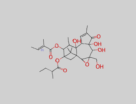 C/C=C(\C)C(=O)OC1C(C)C2(O)C3C=C(C)C(=O)C3(O)C(O)C3(CO)OC3C23CC1(OC(=O)C(C)CC)C3(C)C